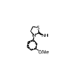 COc1cccc(N2CCSC2=N)c1